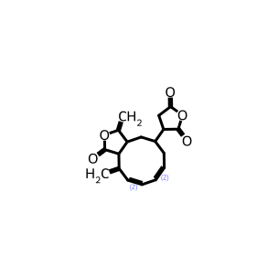 C=C1OC(=O)C2C(=C)/C=C\C=C/CC(C3CC(=O)OC3=O)CC12